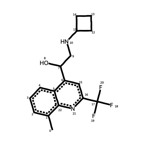 Cc1cccc2c(C(O)CNC3CCC3)cc(C(F)(F)F)nc12